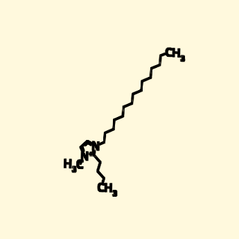 CCCCCCCCCCCCCCCn1cc[n+](C)c1CCCC